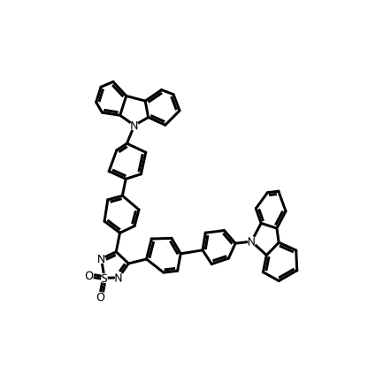 O=S1(=O)N=C(c2ccc(-c3ccc(-n4c5ccccc5c5ccccc54)cc3)cc2)C(c2ccc(-c3ccc(-n4c5ccccc5c5ccccc54)cc3)cc2)=N1